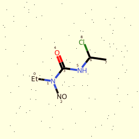 [CH2]CN(N=O)C(=O)NC(C)Cl